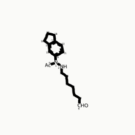 CC(=O)N(NCCCCCCC=O)c1ccc2c(c1)CCC2